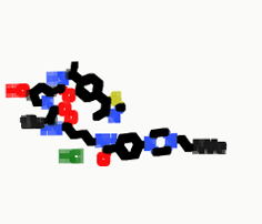 CNCCN1CCN(c2ccc(C(=O)NCCCC(=O)N[C@H](C(=O)N3C[C@H](O)C[C@H]3C(=O)N[C@@H](C)c3ccc(-c4scnc4C)cc3)C(C)(C)C)cc2)CC1.Cl